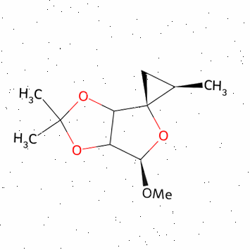 CO[C@@H]1O[C@]2(C[C@H]2C)C2OC(C)(C)OC21